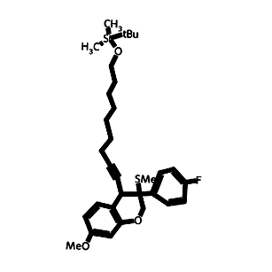 COc1ccc2c(c1)OCC(SC)(c1ccc(F)cc1)C2C#CCCCCCCCO[Si](C)(C)C(C)(C)C